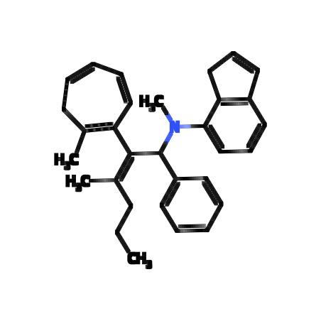 CCC/C(C)=C(/C1=C(C)CC=CC=C1)C(c1ccccc1)N(C)c1cccc2c1CC=C2